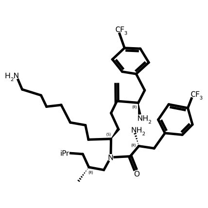 C=C(CC[C@H](CCCCCCCN)N(C[C@H](C)CC(C)C)C(=O)[C@H](N)Cc1ccc(C(F)(F)F)cc1)[C@H](N)Cc1ccc(C(F)(F)F)cc1